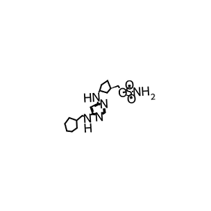 NS(=O)(=O)OC[C@@H]1CC[C@H](Nc2cc(NCC3CCCCC3)ncn2)C1